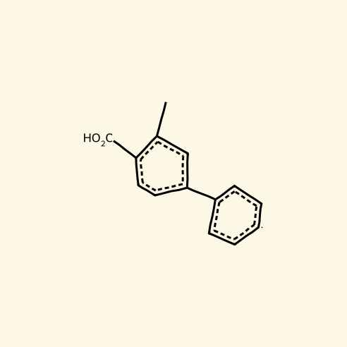 Cc1cc(-c2cc[c]cc2)ccc1C(=O)O